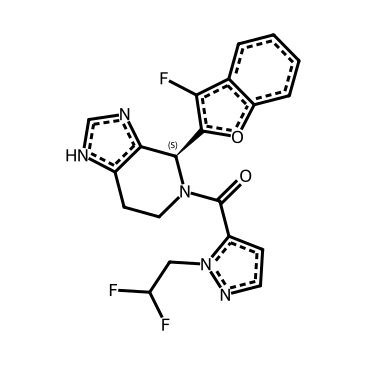 O=C(c1ccnn1CC(F)F)N1CCc2[nH]cnc2[C@H]1c1oc2ccccc2c1F